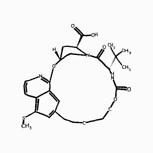 CSc1cc2cc3c(nccc13)O[C@@H]1C[C@@H](C(=O)O)N(C1)C(=O)[C@H](C(C)(C)C)NC(=O)OCCCCC2